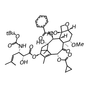 CO[C@H]1C[C@H]2OC[C@@]2(OC(C)=O)[C@H]2[C@H](OC(=O)c3ccccc3)[C@]3(O)C[C@H](OC(=O)[C@H](O)[C@H](C=C(C)C)NC(=O)OC(C)(C)C)C(C)=C([C@@H](OC(=O)C4CC4)C(=O)[C@]12C)C3(C)C